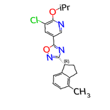 Cc1cccc2c1CC[C@H]2c1noc(-c2cnc(OC(C)C)c(Cl)c2)n1